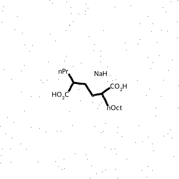 CCCCCCCCC(CCC(CCC)C(=O)O)C(=O)O.[NaH]